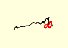 CCCCCCCCCCCCCCC(C)C([O])=O